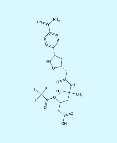 CC(C)(CC(CC(=O)O)OC(=O)C(F)(F)F)NC(=O)C[C@H]1C[C@@H](c2ccc(C(=N)N)cc2)NO1